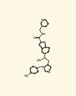 CCCN(Cc1cncn1Cc1ccc(C#N)cc1)c1ccc2sc(C(=O)NCc3cccnc3)cc2c1